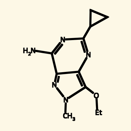 CCOc1c2nc(C3CC3)nc(N)c2nn1C